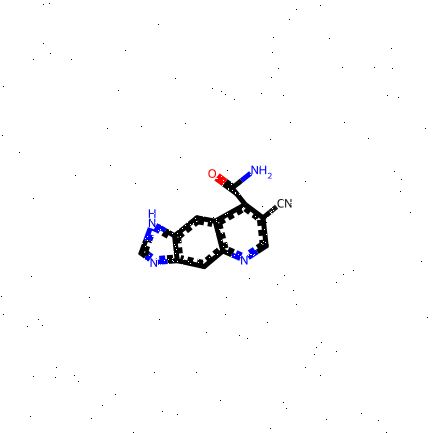 N#Cc1cnc2cc3nc[nH]c3cc2c1C(N)=O